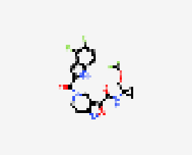 O=C(NC1(COC(F)F)CC1)c1onc2c1CN(C(=O)c1cc3c(F)c(F)ccc3[nH]1)CC2